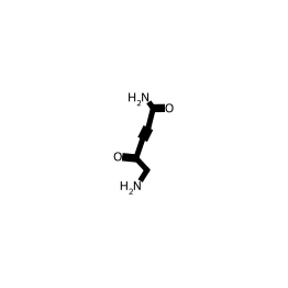 NCC(=O)C#CC(N)=O